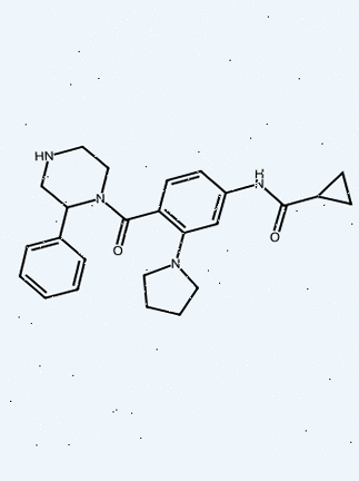 O=C(Nc1ccc(C(=O)N2CCNCC2c2ccccc2)c(N2CCCC2)c1)C1CC1